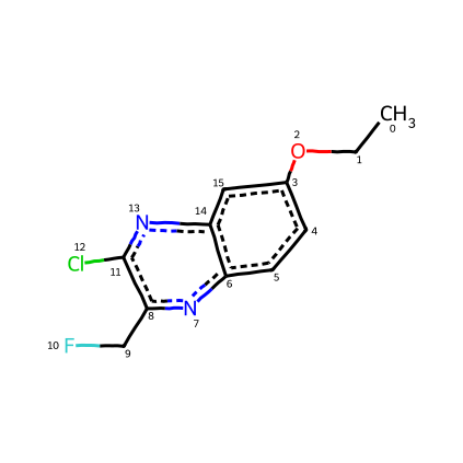 CCOc1ccc2nc(CF)c(Cl)nc2c1